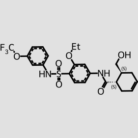 CCOc1cc(NC(=O)[C@H]2CC=CC[C@@H]2CO)ccc1S(=O)(=O)Nc1cccc(OC(F)(F)F)c1